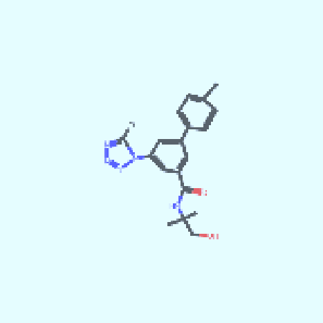 CCc1nnnn1-c1cc(C(=O)NC(C)(C)CO)cc(-c2ccc(C)cc2)c1